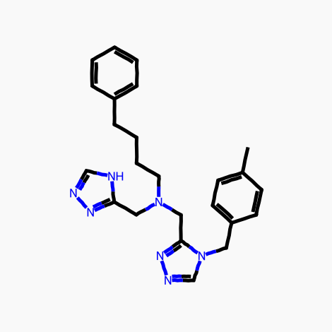 Cc1ccc(Cn2cnnc2CN(CCCCc2ccccc2)Cc2nnc[nH]2)cc1